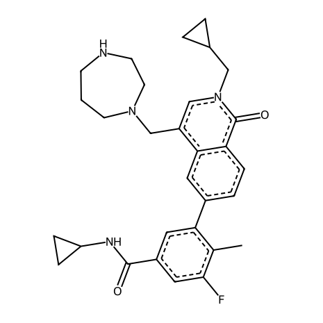 Cc1c(F)cc(C(=O)NC2CC2)cc1-c1ccc2c(=O)n(CC3CC3)cc(CN3CCCNCC3)c2c1